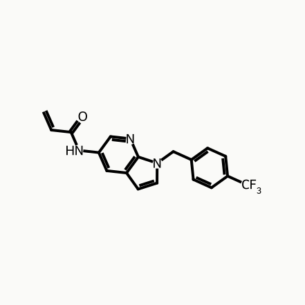 C=CC(=O)Nc1cnc2c(ccn2Cc2ccc(C(F)(F)F)cc2)c1